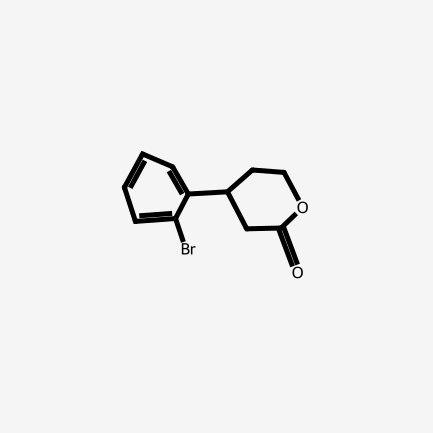 O=C1CC(c2ccccc2Br)CCO1